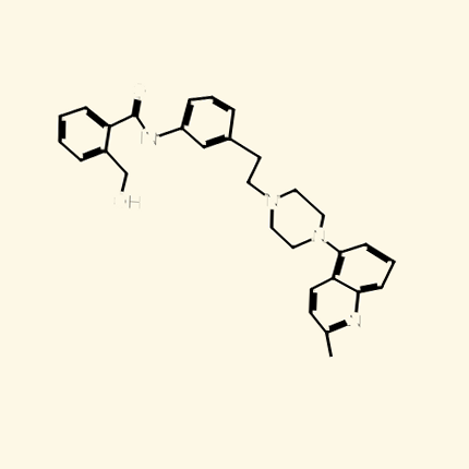 Cc1ccc2c(N3CCN(CCc4cccc(NC(=O)c5ccccc5CO)c4)CC3)cccc2n1